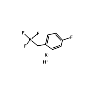 Fc1ccc(C[B-](F)(F)F)cc1.[H+].[K]